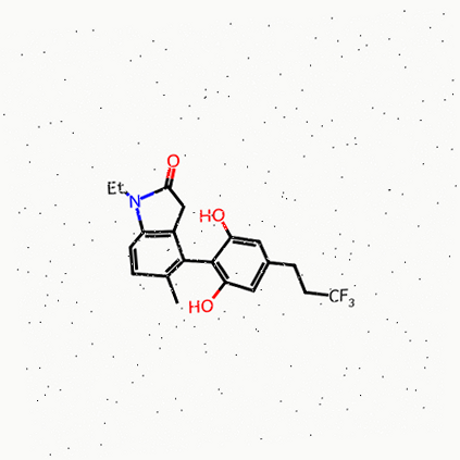 CCN1C(=O)Cc2c1ccc(C)c2-c1c(O)cc(CCC(F)(F)F)cc1O